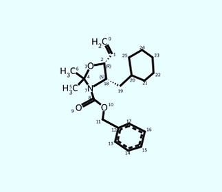 C=C[C@H]1OC(C)(C)N(C(=O)OCc2ccccc2)[C@H]1CC1CCCCC1